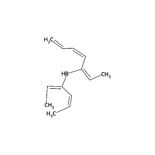 C=C/C=C\C(BC(/C=C\C)=C/C)=C/C